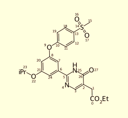 CCOC(=O)Cc1cnc(-c2cc(Oc3ccc(S(C)(=O)=O)cc3)cc(OC(C)C)c2)[nH]c1=O